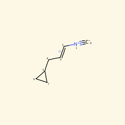 [C-]#[N+]/C=C/CC1CC1